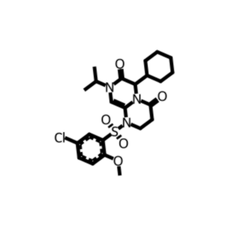 COc1ccc(Cl)cc1S(=O)(=O)N1CCC(=O)N2C1=CN(C(C)C)C(=O)C2C1CCCCC1